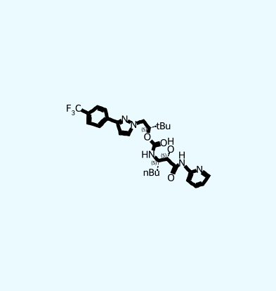 CCCC[C@H](NC(=O)O[C@H](Cn1ccc(-c2ccc(C(F)(F)F)cc2)n1)C(C)(C)C)[C@H](O)C(=O)Nc1ccccn1